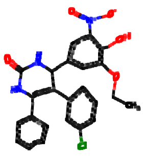 CCOc1cc(C2NC(=O)NC(c3ccccc3)=C2c2cccc(Cl)c2)cc([N+](=O)[O-])c1O